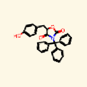 O=C1OC(Cc2ccc(O)cc2)C(=O)N1C(c1ccccc1)(c1ccccc1)c1ccccc1